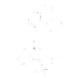 CCC(Nc1cccc(SNC(=O)c2ccc(Br)nc2N2CC(C)CC2(C)C)n1)c1ccccn1